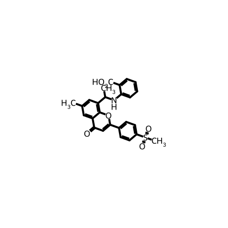 Cc1cc(C(C)Nc2ccccc2C(=O)O)c2oc(-c3ccc(S(C)(=O)=O)cc3)cc(=O)c2c1